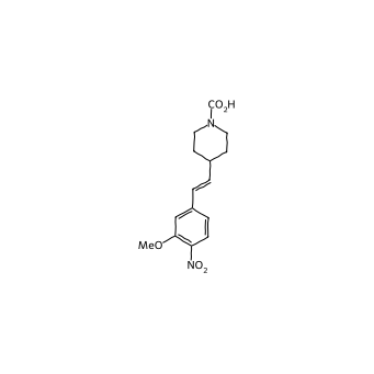 COc1cc(C=CC2CCN(C(=O)O)CC2)ccc1[N+](=O)[O-]